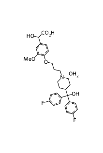 COc1cc(C(O)C(=O)O)ccc1OCCCN1CCC(C(O)(c2ccc(F)cc2)c2ccc(F)cc2)CC1.O